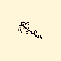 COC(=O)/C=C/C(=O)OC(C)N1C(=O)CCC1=O